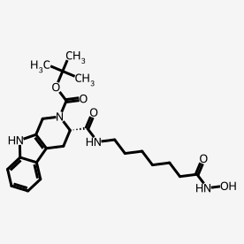 CC(C)(C)OC(=O)N1Cc2[nH]c3ccccc3c2C[C@H]1C(=O)NCCCCCCC(=O)NO